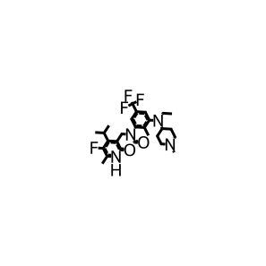 CCN(c1cc(C(F)(F)F)cc(N(C=O)Cc2c(C(C)C)c(F)c(C)[nH]c2=O)c1C)C1CCN(C)CC1